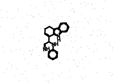 N=CC(Nc1ccccc1)C1=CCCc2c1[nH]c1ccccc21